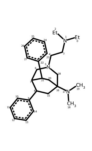 CCN(CC)CCN1CC2C(c3ccccc3)CC(N(C)C)(CC2c2ccccc2)C1